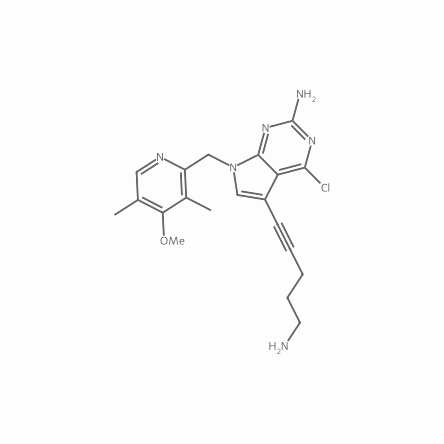 COc1c(C)cnc(Cn2cc(C#CCCCN)c3c(Cl)nc(N)nc32)c1C